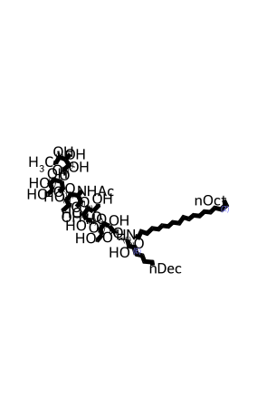 CCCCCCCC/C=C\CCCCCCCCCCCCCCCC(=O)N[C@@H](CO[C@@H]1OC(CO)[C@@H](O[C@@H]2OC(CO)[C@H](O[C@@H]3OC(CO)[C@H](O)[C@H](O[C@@H]4OC(CO)[C@H](O)[C@H](O)C4O[C@H]4OC(C)[C@@H](O)C(O)[C@@H]4O)C3NC(C)=O)[C@H](O)C2O)[C@H](O)C1O)[C@H](O)/C=C/CCCCCCCCCCCCC